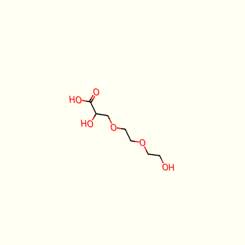 O=C(O)C(O)COCCOCCO